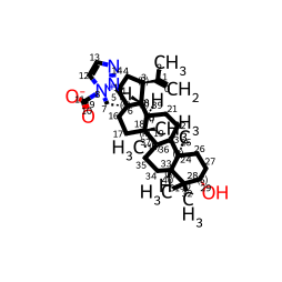 C=C(C)[C@@H]1CC[C@]2(C[N+]3(C(=O)[O-])C=CN=N3)CC[C@]3(C)[C@H](CCC4[C@@]5(C)CC[C@H](O)C(C)(C)[C@@H]5CC[C@]43C)[C@@H]12